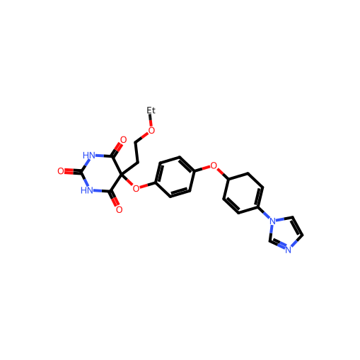 CCOCCC1(Oc2ccc(OC3C=CC(n4ccnc4)=CC3)cc2)C(=O)NC(=O)NC1=O